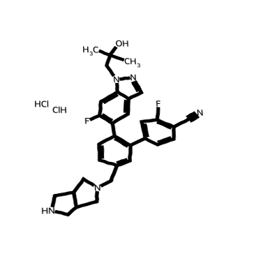 CC(C)(O)Cn1ncc2cc(-c3ccc(CN4CC5CNCC5C4)cc3-c3ccc(C#N)c(F)c3)c(F)cc21.Cl.Cl